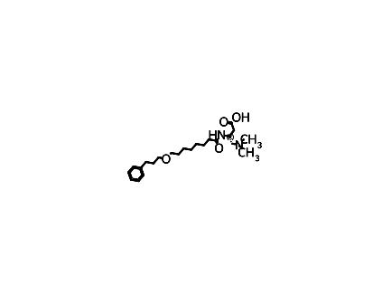 CN(C)C[C@@H](CC(=O)O)NC(=O)CCCCCCCOCCCc1ccccc1